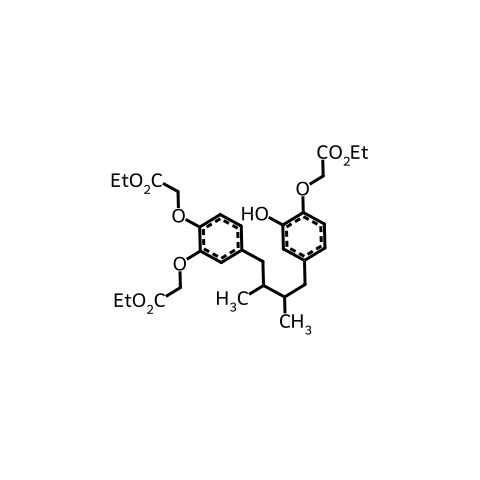 CCOC(=O)COc1ccc(CC(C)C(C)Cc2ccc(OCC(=O)OCC)c(OCC(=O)OCC)c2)cc1O